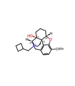 COc1ccc2c3c1O[C@H]1CCC[C@@]4(O)[C@@H](C2)N(CC2CCC2)CC[C@]314